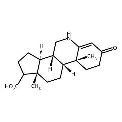 C[C@]12CCC(=O)C=C1NC[C@@H]1[C@H]2CC[C@]2(C)C(C(=O)O)CC[C@@H]12